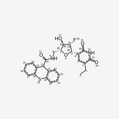 CCc1cn([C@@H]2O[C@H](CNC(=O)C3c4ccccc4Sc4ccccc43)[C@@H](O)[C@@H]2F)c(=O)[nH]c1=O